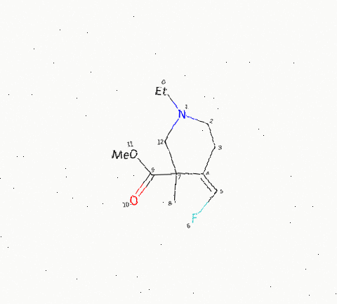 CCN1CCC(=CF)C(C)(C(=O)OC)C1